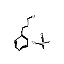 ClCCCc1ccccc1.O=S(=O)(Cl)Cl